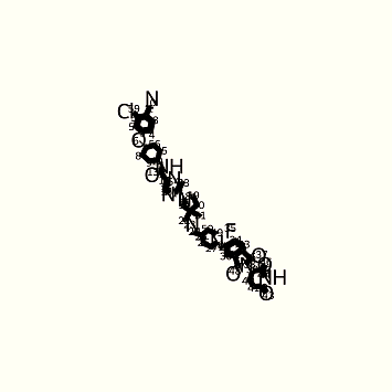 N#Cc1ccc(O[C@H]2CC[C@H](NC(=O)c3cnc(N4CCC5(CN(CC6CCN(c7cc8c(cc7F)C(=O)N(C7CCC(=O)NC7=O)C8=O)CC6)C5)C4)cn3)CC2)cc1Cl